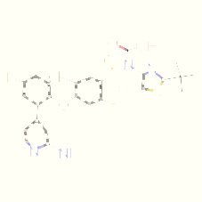 CC(C)(C)c1nc(N(C(=O)O)S(=O)(=O)c2cc(Cl)c(Oc3ccc(F)cc3-c3ccnc(N)c3)cc2F)cs1